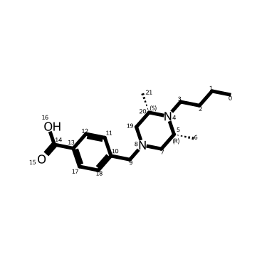 CCCCN1[C@H](C)CN(Cc2ccc(C(=O)O)cc2)C[C@@H]1C